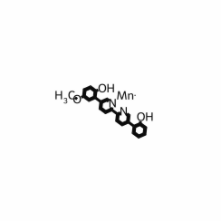 COc1ccc(O)c(-c2ccc(-c3ccc(-c4ccccc4O)cn3)nc2)c1.[Mn]